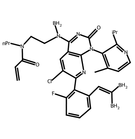 BC(B)=Cc1cccc(F)c1-c1nc2c(cc1Cl)c(N(B)CCN(CCC)C(=O)C=C)nc(=O)n2-c1c(C)ccnc1C(C)C